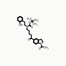 CC(=O)N1CCc2cc(C(=O)CCCCN(CCc3ccccc3O)C(=O)OC(C)(C)C)ccc21